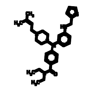 CCN(CC)C(=O)c1ccc([C@H](c2cccc(NCc3cccs3)c2)N2CCN(CC=C(C)C)CC2)cc1